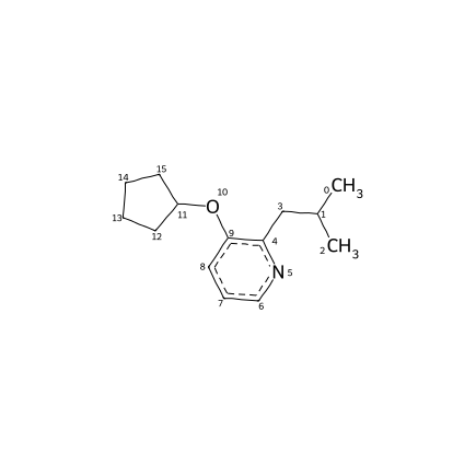 CC(C)Cc1ncccc1OC1CCCC1